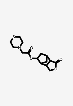 O=C(CN1CCSCC1)OC1CC2CC1C1COC(=O)C21